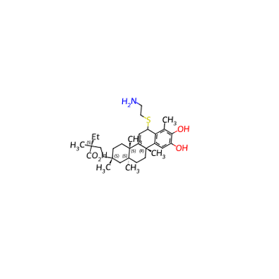 CC[C@@](C)(CC[C@]1(C)CC[C@]2(C)C3=CC(SCCN)c4c(cc(O)c(O)c4C)[C@]3(C)CC[C@@]2(C)C1)C(=O)O